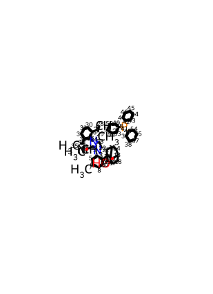 [CH3][Ni][CH]1N(c2cc(C)ccc2C23CC4CC(CC(C4)C2O)C3)CCN1c1c(C(C)C)cccc1C(C)C.c1ccc(P(c2ccccc2)c2ccccc2)cc1